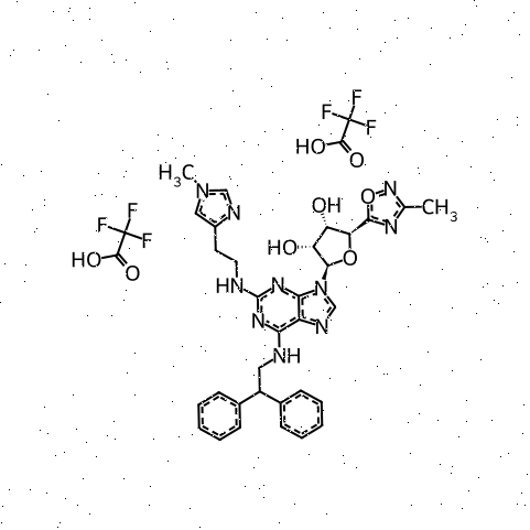 Cc1noc([C@H]2O[C@@H](n3cnc4c(NCC(c5ccccc5)c5ccccc5)nc(NCCc5cn(C)cn5)nc43)[C@H](O)[C@@H]2O)n1.O=C(O)C(F)(F)F.O=C(O)C(F)(F)F